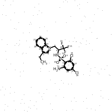 CCc1cn(CC(NS(=O)(=O)c2c(N)cc(Cl)cc2Cl)C(F)(F)F)c2ccccc12